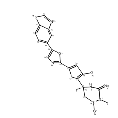 CN1C(=N)N[C@](C)(c2sc(-c3nnc(-c4ccc5scnc5c4)o3)cc2Cl)C[S+]1[O-]